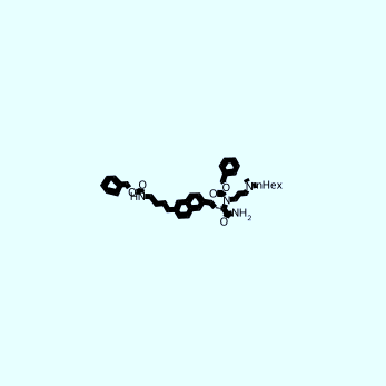 CCCCCCN(C)CCCN(C(=O)OCc1ccccc1)[C@@H](CCc1ccc2cc(CCCCNC(=O)OCc3ccccc3)ccc2c1)C(N)=O